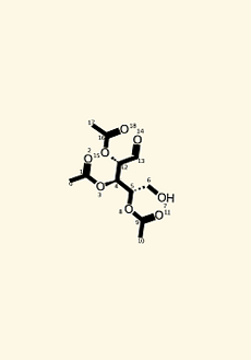 CC(=O)O[C@H]([C@H](CO)OC(C)=O)[C@@H](C=O)OC(C)=O